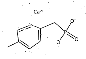 Cc1ccc(CP(=O)([O-])[O-])cc1.[Ca+2]